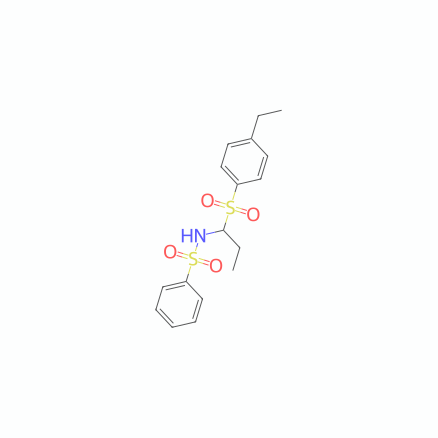 CCc1ccc(S(=O)(=O)C(CC)NS(=O)(=O)c2ccccc2)cc1